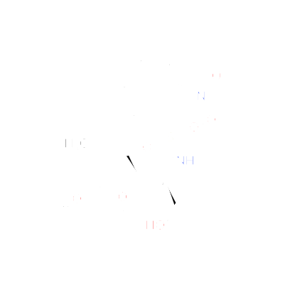 C[C@@H]1C[C@@H]([C@H](CO)NS(=O)(=O)c2ccccc2[N+](=O)[O-])OC1=O